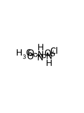 COC(=O)c1ccc(-c2nc3ccc(C(=O)Nc4cccc(Cl)c4)cc3[nH]2)cc1